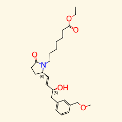 CCOC(=O)CCCCCCN1C(=O)CC[C@@H]1C=C[C@@H](O)Cc1cccc(COC)c1